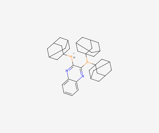 C[P@](c1nc2ccccc2nc1P(C12CC3CC(CC(C3)C1)C2)C12CC3CC(CC(C3)C1)C2)C12CC3CC(CC(C3)C1)C2